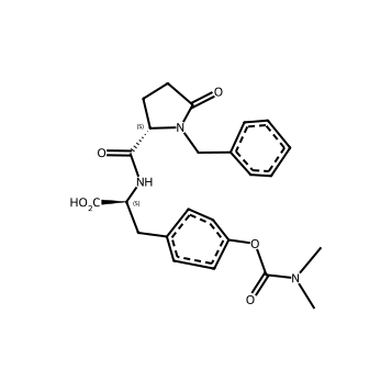 CN(C)C(=O)Oc1ccc(C[C@H](NC(=O)[C@@H]2CCC(=O)N2Cc2ccccc2)C(=O)O)cc1